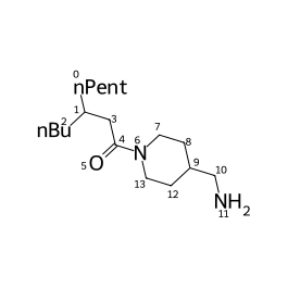 CCCCCC(CCCC)CC(=O)N1CCC(CN)CC1